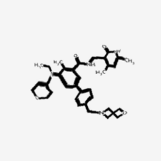 CCN(c1cc(-c2ccc(CN3CC4(COC4)C3)cc2)cc(C(=O)NCc2c(C)cc(C)[nH]c2=O)c1C)C1CCOCC1